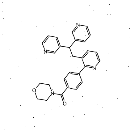 O=C(c1ccc(-c2ncccc2CC(c2cccnc2)c2cccnc2)cc1)N1CCOCC1